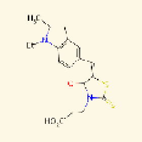 CCN1c2ccc(/C=C3/SC(=S)N(CCC(=O)O)C3=O)cc2CC1C